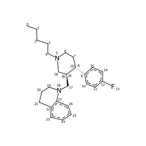 CCCCCN1CC[C@H](c2ccc(F)cc2)[C@@H](CN2CCCc3ccccc32)C1